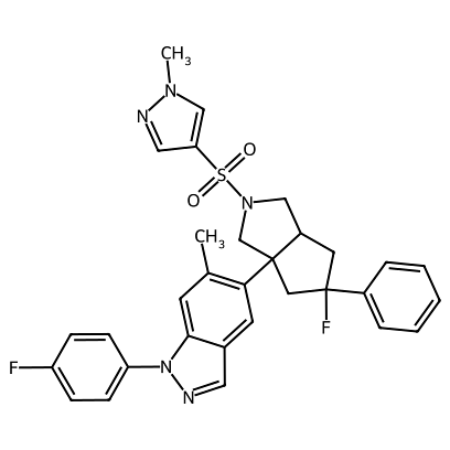 Cc1cc2c(cnn2-c2ccc(F)cc2)cc1C12CN(S(=O)(=O)c3cnn(C)c3)CC1CC(F)(c1ccccc1)C2